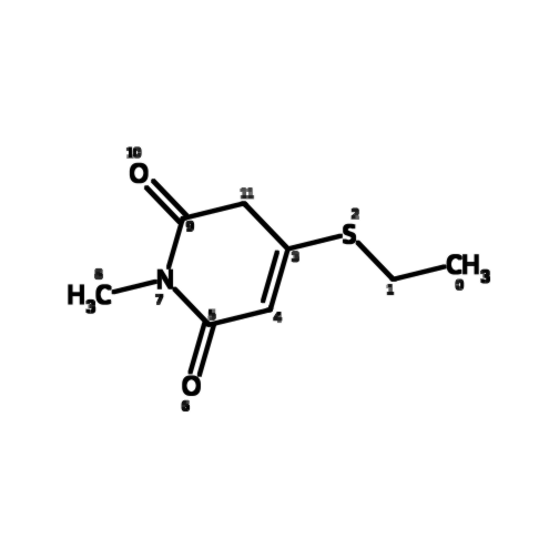 CCSC1=CC(=O)N(C)C(=O)C1